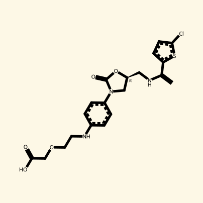 C=C(NC[C@H]1CN(c2ccc(NCCOCC(=O)O)cc2)C(=O)O1)c1ccc(Cl)s1